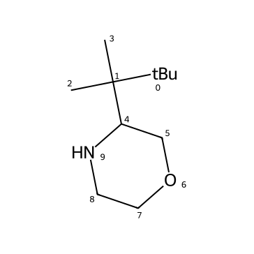 CC(C)(C)C(C)(C)C1COCCN1